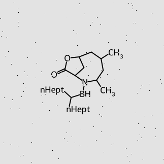 CCCCCCCC(BN1C(C)CC(C)CC2CC1C(=O)O2)CCCCCCC